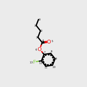 CCCCC(=O)Oc1ccccc1F